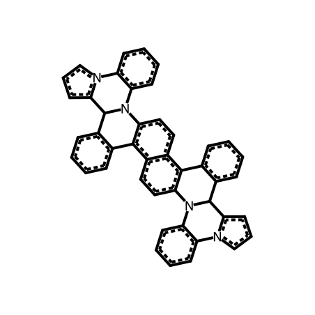 c1ccc2c(c1)-c1c(ccc3c4c(ccc13)N1c3ccccc3-n3cccc3C1c1ccccc1-4)N1c3ccccc3-n3cccc3C21